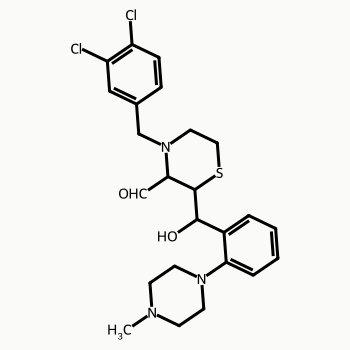 CN1CCN(c2ccccc2C(O)C2SCCN(Cc3ccc(Cl)c(Cl)c3)C2C=O)CC1